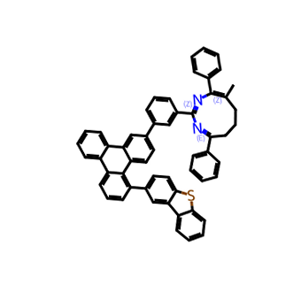 C/C1=C(c2ccccc2)/N=C(c2cccc(-c3ccc4c(c3)c3ccccc3c3cccc(-c5ccc6sc7ccccc7c6c5)c34)c2)\N=C(\c2ccccc2)CCC1